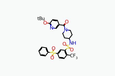 CC(C)(C)Oc1ccc(C(=O)N2CCC(NS(=O)(=O)c3cc(S(=O)(=O)c4ccccc4)ccc3C(F)(F)F)CC2)cn1